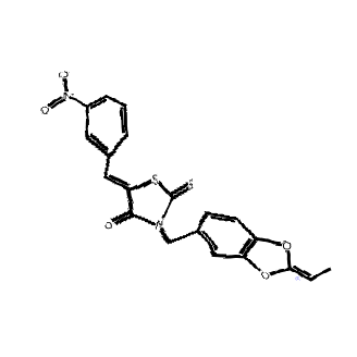 C/C=C1\Oc2ccc(CN3C(=O)C(=Cc4cccc([N+](=O)[O-])c4)SC3=S)cc2O1